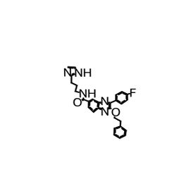 O=C(NCCCc1ncc[nH]1)c1ccc2nc(OCCc3ccccc3)c(-c3ccc(F)cc3)nc2c1